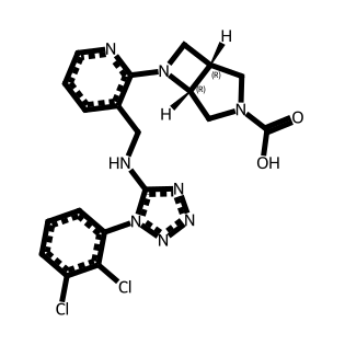 O=C(O)N1C[C@H]2CN(c3ncccc3CNc3nnnn3-c3cccc(Cl)c3Cl)[C@H]2C1